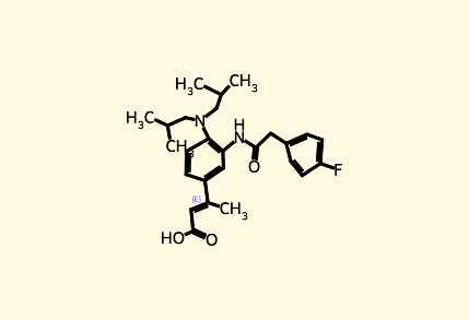 C/C(=C\C(=O)O)c1ccc(N(CC(C)C)CC(C)C)c(NC(=O)Cc2ccc(F)cc2)c1